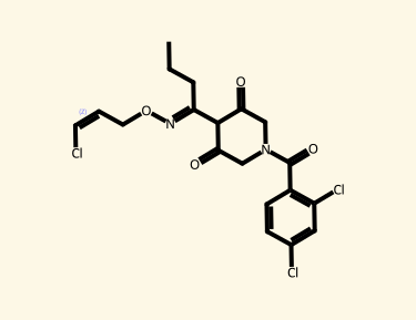 CCCC(=NOC/C=C\Cl)C1C(=O)CN(C(=O)c2ccc(Cl)cc2Cl)CC1=O